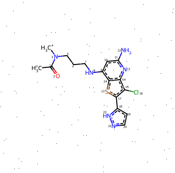 CC(=O)N(C)CCCNc1cc(N)nc2c(Cl)c(-c3ccn[nH]3)sc12